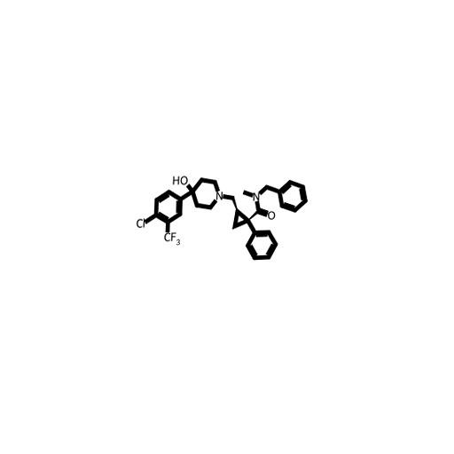 CN(Cc1ccccc1)C(=O)[C@@]1(c2ccccc2)C[C@H]1CN1CCC(O)(c2ccc(Cl)c(C(F)(F)F)c2)CC1